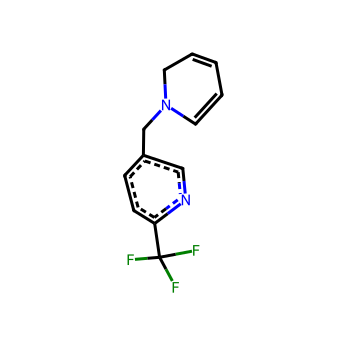 FC(F)(F)c1ccc(CN2C=CC=CC2)cn1